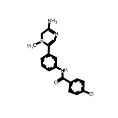 CN1CC(N)=NC=C1c1cccc(NC(=O)c2ccc(Cl)cc2)c1